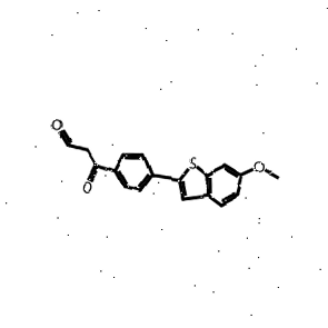 COc1ccc2cc(-c3ccc(C(=O)CC=O)cc3)sc2c1